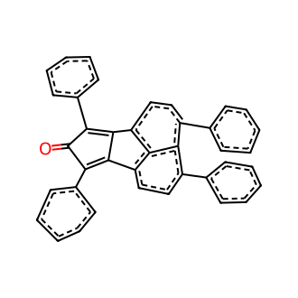 O=C1C(c2ccccc2)=C2C(=C1c1ccccc1)c1ccc(-c3ccccc3)c3c(-c4ccccc4)ccc2c13